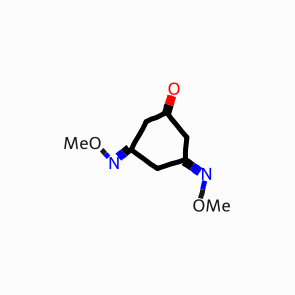 CON=C1CC(=O)CC(=NOC)C1